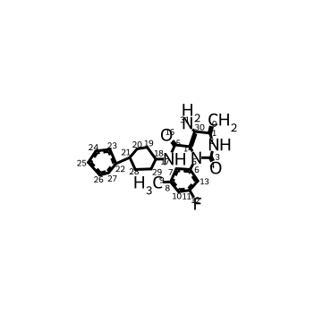 C=C1NC(=O)N(c2cc(C)cc(F)c2)C(C(=O)NC2CCC(c3ccccc3)CC2)=C1N